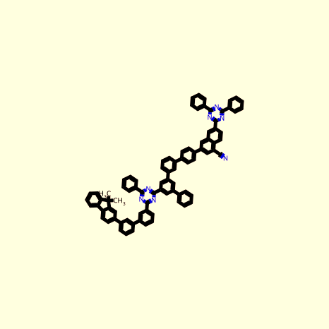 CC1(C)c2ccccc2-c2ccc(-c3cccc(-c4cccc(-c5nc(-c6ccccc6)nc(-c6cc(-c7ccccc7)cc(-c7cccc(-c8ccc(-c9cc(C#N)c%10ccc(-c%11nc(-c%12ccccc%12)nc(-c%12ccccc%12)n%11)cc%10c9)cc8)c7)c6)n5)c4)c3)cc21